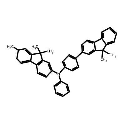 CC1C=C2C(=CC1)c1ccc(N(c3ccccc3)c3ccc(-c4ccc5c(c4)C(C)(C)c4ccccc4-5)cc3)cc1C2(C)C